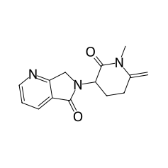 C=C1CCC(N2Cc3ncccc3C2=O)C(=O)N1C